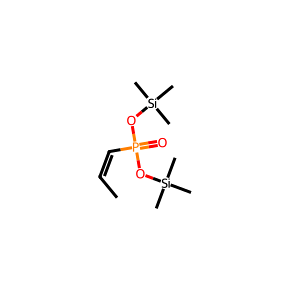 C/C=C\P(=O)(O[Si](C)(C)C)O[Si](C)(C)C